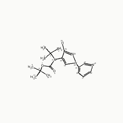 BC(B)(B)N(C(=O)OC(C)(C)C)c1cn(-c2cccnc2)nc1Cl